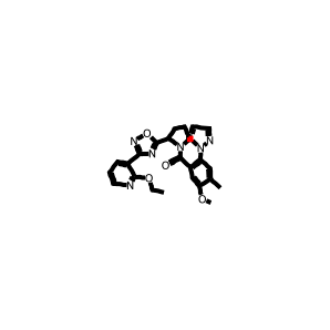 CCOc1ncccc1-c1noc(C2CCCN2C(=O)c2cc(OC)c(C)cc2-n2nccn2)n1